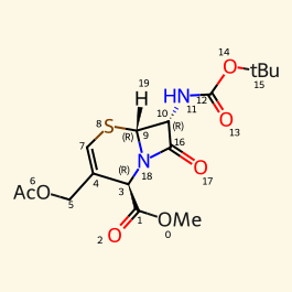 COC(=O)[C@H]1C(COC(C)=O)=CS[C@@H]2[C@H](NC(=O)OC(C)(C)C)C(=O)N12